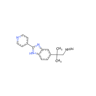 CC(=O)NCC(C)(C)c1ccc2[nH]c(-c3ccncc3)nc2c1